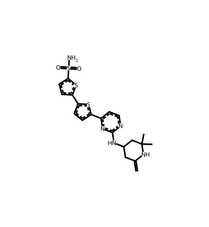 C=C1CC(Nc2nccc(-c3ccc(-c4ccc(S(N)(=O)=O)s4)s3)n2)CC(C)(C)N1